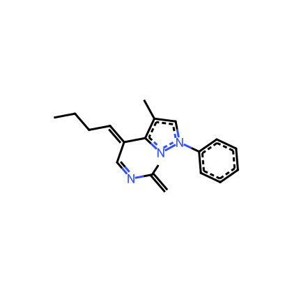 C=C(C)/N=C\C(=C/CCC)c1nn(-c2ccccc2)cc1C